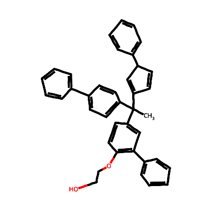 CC(C1=CC(c2ccccc2)C=C1)(c1ccc(-c2ccccc2)cc1)c1ccc(OCCO)c(-c2ccccc2)c1